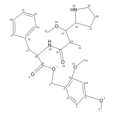 COc1ccc(COC(=O)C(Cc2ccccc2)NC(=O)C(C)C(OC)C2CCCN2)c(OC)c1